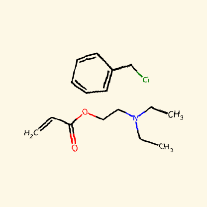 C=CC(=O)OCCN(CC)CC.ClCc1ccccc1